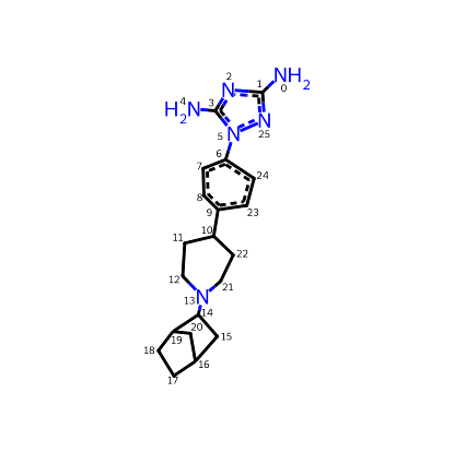 Nc1nc(N)n(-c2ccc(C3CCN(C4CC5CCC4C5)CC3)cc2)n1